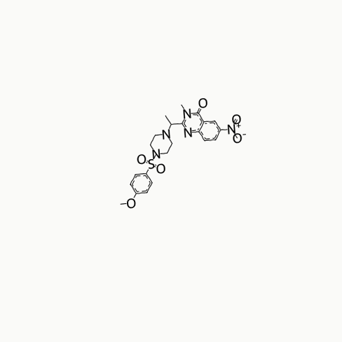 COc1ccc(S(=O)(=O)N2CCN(C(C)c3nc4ccc([N+](=O)[O-])cc4c(=O)n3C)CC2)cc1